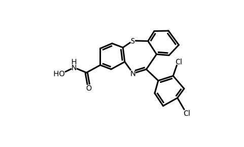 O=C(NO)c1ccc2c(c1)N=C(c1ccc(Cl)cc1Cl)c1ccccc1S2